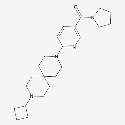 O=C(c1ccc(N2CCC3(CC2)CCN(C2CCC2)CC3)nc1)N1CCCC1